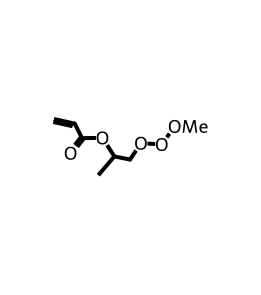 C=CC(=O)OC(C)COOOC